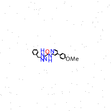 COc1ccc(-c2ccnc(NC(=O)c3nnc(Cc4ccccc4)[nH]3)c2)cc1